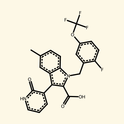 Cc1ccc2c(c1)c(-c1ccc[nH]c1=O)c(C(=O)O)n2Cc1cc(OC(F)(F)F)ccc1F